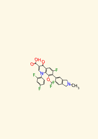 CN1Cc2ccc(-c3c(F)cc4c(=O)c(C(=O)O)cn(-c5ccc(F)cc5F)c4c3OC(F)F)cc2C1